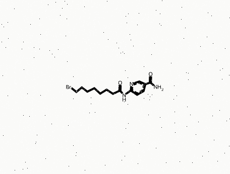 NC(=O)c1ccc(NC(=O)CCCCCCCBr)nc1